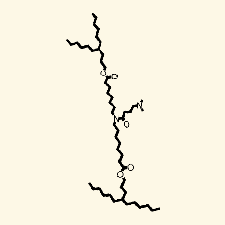 CCCCCCC(CCCCCC)CCCOC(=O)CCCCCCCN(CCCCCCCC(=O)OCCCC(CCCCCC)CCCCCC)C(=O)CCCN(C)C